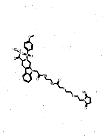 COc1ccc(S(=O)(=O)N2Cc3c(c4ccccc4n3CC(=O)NCCNC(=O)COCCOCCN3C(=N)C=CC3=O)CC2C(=O)NO)cc1